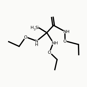 C=C(NOCC)C([SiH3])(NOCC)NOCC